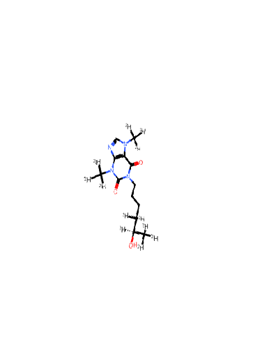 [2H]C([2H])([2H])n1cnc2c1c(=O)n(CCCC([2H])([2H])[C@]([2H])(O)C([2H])([2H])[2H])c(=O)n2C([2H])([2H])[2H]